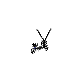 CCCCCCCCCCCCN(CCCCCCCCCCCC)C(=O)C(F)(F)S(=O)(=O)OCC1(COc2ccc(CN/C(=N\C(=O)OC(C)(C)C)NC(=O)OC(C)(C)C)cc2)COC(C)(C)OC1